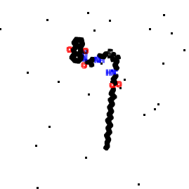 CCCCCCCCCCCCCCCCCCOC(=O)CCNCCC[Si](C)(C)C[Si](C)(C)CCCNCC(C)C(=O)Nc1cccc2c1C(=O)c1ccccc1C2=O